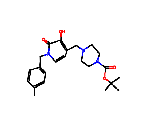 Cc1ccc(Cn2ccc(CN3CCN(C(=O)OC(C)(C)C)CC3)c(O)c2=O)cc1